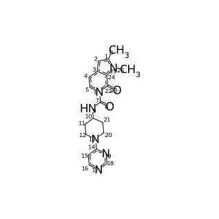 Cc1cc2ccn(C(=O)NC3CCN(c4ccncn4)CC3)c(=O)c2n1C